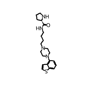 O=C(NCCCCN1CCN(c2cccc3sccc23)CC1)[C@H]1CCCN1